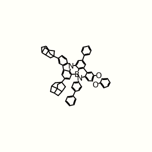 c1ccc(-c2ccc(N3B4c5c(cc(-c6ccccc6)cc5-n5c6ccc(C78CC9CC%10CC9(C7)C%10C8)cc6c6cc(C78CC9CC%10CC(C7)C%109C8)cc4c65)-c4cc5c(cc43)Oc3ccccc3O5)cc2)cc1